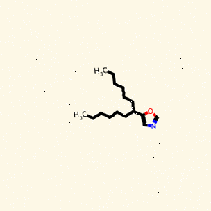 CCCCCCC(CCCCCC)c1cnco1